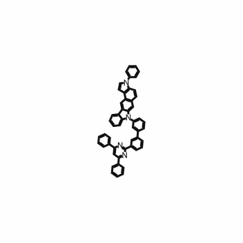 c1ccc(-c2cc(-c3ccccc3)nc(-c3cccc(-c4cccc(-n5c6ccccc6c6cc7c(ccc8c7ccn8-c7ccccc7)cc65)c4)c3)n2)cc1